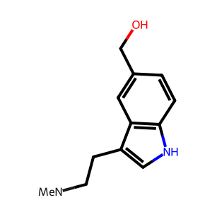 CNCCc1c[nH]c2ccc(CO)cc12